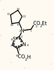 CCOC(=O)CN(c1nc(C(=O)O)cs1)C1CCCC1